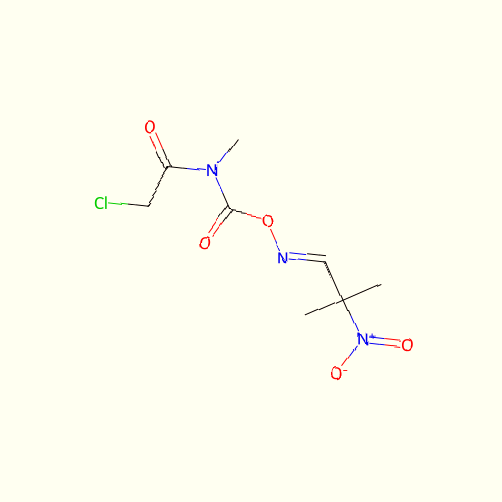 CN(C(=O)CCl)C(=O)ON=CC(C)(C)[N+](=O)[O-]